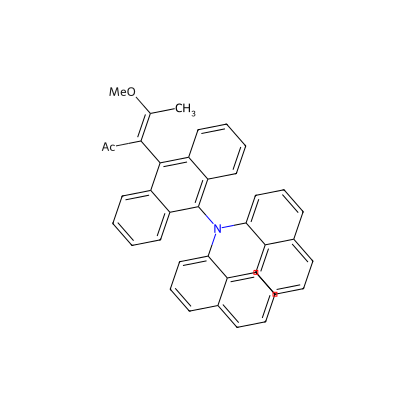 CO/C(C)=C(\C(C)=O)c1c2ccccc2c(N(c2cccc3ccccc23)c2cccc3ccccc23)c2ccccc12